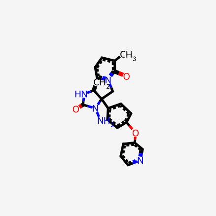 C=C1NC(=O)N(N)C1(Cn1cccc(C)c1=O)c1ccc(Oc2cccnc2)cc1